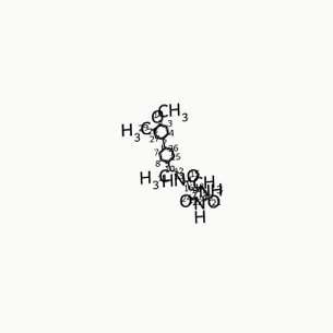 COc1ccc(-c2ccc(C(C)CNC(=O)CC3(C)NC(=O)NC3=O)cc2)cc1C